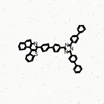 c1ccc(-c2ccc(-c3nc(-c4ccc(-c5ccccc5)cc4)nc(-c4ccc(-c5ccc(-c6nc7ccc8ccccc8c7c7c6sc6ccccc67)cc5)cc4)n3)cc2)cc1